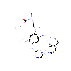 COc1cc(N(C)CCN(C)C(=O)OC(C)(C)C)c(N)cc1Nc1nccc(-n2ccc3cccnc32)n1